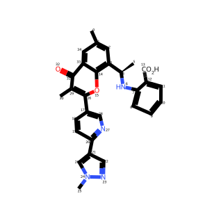 Cc1cc([C@@H](C)Nc2ccccc2C(=O)O)c2oc(-c3ccc(-c4cnn(C)c4)nc3)c(C)c(=O)c2c1